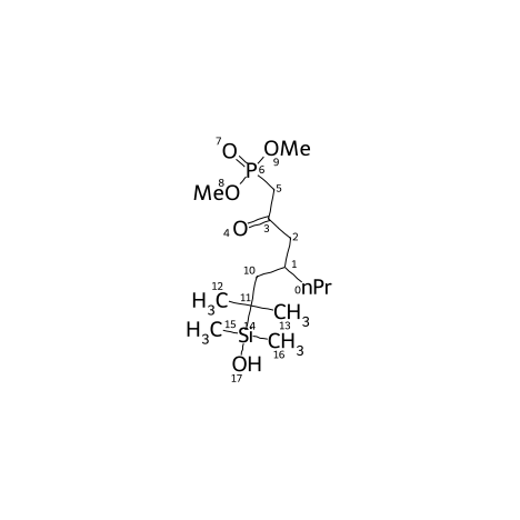 CCCC(CC(=O)CP(=O)(OC)OC)CC(C)(C)[Si](C)(C)O